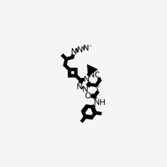 Cc1ccc(NC(=O)C[C@@H](CC#N)c2nnc(C3CC(CC(C)CN=[N+]=[N-])C3)n2C2CC2)c(C)c1